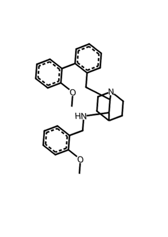 COc1ccccc1CNC1C2CCN(CC2)C1Cc1ccccc1-c1ccccc1OC